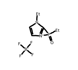 CCn1cc[n+]2c1P2(=O)CC.F[B-](F)(F)F